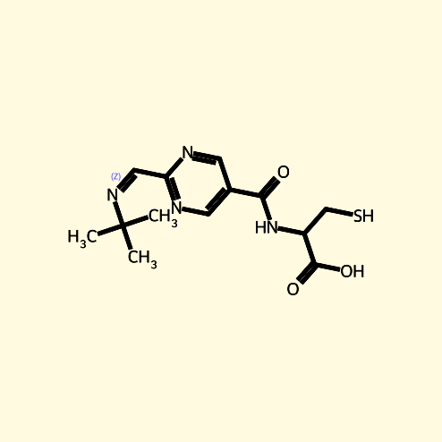 CC(C)(C)/N=C\c1ncc(C(=O)NC(CS)C(=O)O)cn1